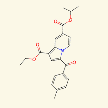 CCOC(=O)c1cc(C(=O)c2ccc(C)cc2)n2ccc(C(=O)OC(C)C)cc12